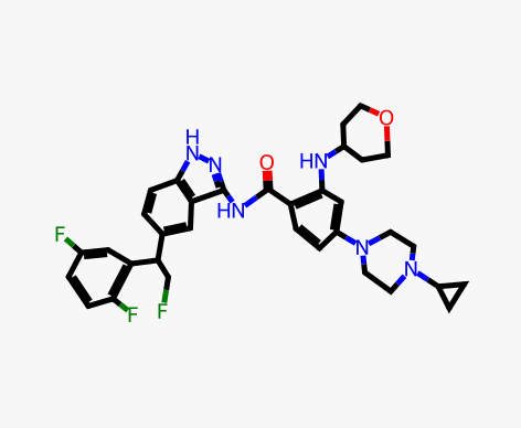 O=C(Nc1n[nH]c2ccc(C(CF)c3cc(F)ccc3F)cc12)c1ccc(N2CCN(C3CC3)CC2)cc1NC1CCOCC1